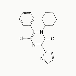 O=c1c(-n2cccn2)nc(Cl)c(-c2ccccc2)n1C1CCCCC1